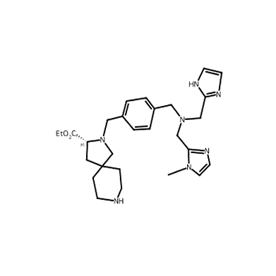 CCOC(=O)[C@H]1CC2(CCNCC2)CN1Cc1ccc(CN(Cc2ncc[nH]2)Cc2nccn2C)cc1